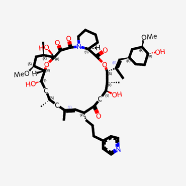 CO[C@H]1C[C@@H](C)[C@@]2(O)O[C@@H]1[C@@H](O)C[C@@H](C)C/C(C)=C/[C@@H](CCCc1ccncc1)C(=O)C[C@H](O)[C@@H](C)[C@@H](/C(C)=C/[C@@H]1CC[C@@H](O)[C@H](OC)C1)OC(=O)[C@@H]1CCCCN1C(=O)C2=O